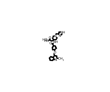 Cc1cc(COc2ccc(C(=O)NC3(CC(=O)NO)CCN(Cc4c[nH]cn4)CC3)cc2)c2ccccc2n1